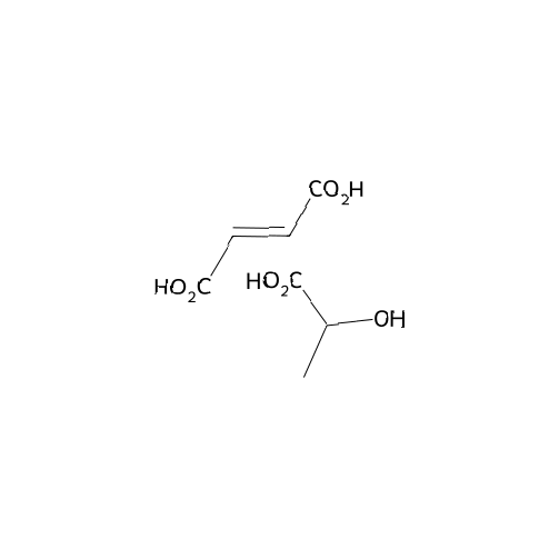 CC(O)C(=O)O.O=C(O)C=CC(=O)O